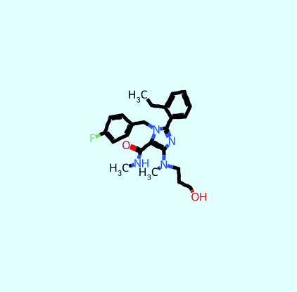 CCc1ccccc1-c1nc(N(C)CCCO)c(C(=O)NC)n1Cc1ccc(F)cc1